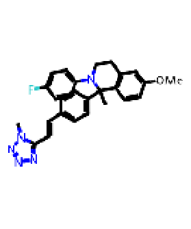 COc1ccc2c(c1)CCN(c1ccc(F)cc1)C2(C)c1ccc(/C=C/c2nnnn2C)cc1